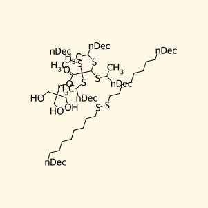 CCCCCCCCCCC(C)SC(SC(C)CCCCCCCCCC)C(SC(C)CCCCCCCCCC)(SC(C)CCCCCCCCCC)C(=O)OCC(CO)(CO)CO.CCCCCCCCCCCCCCCCCCSSCCCCCCCCCCCCCCCCCC